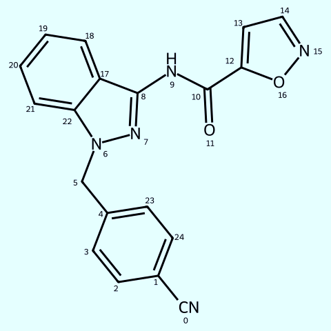 N#Cc1ccc(Cn2nc(NC(=O)c3ccno3)c3ccccc32)cc1